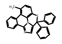 Cc1ccc2c3c1c1ccccc1c1ncc(n13)C(c1ccccc1)(c1ccccc1)S2